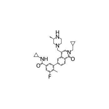 Cc1c(F)cc(C(=O)NC2CC2)cc1-c1ccc2c(=O)n(CC3CC3)cc(CN3CCN[C@H](C)C3)c2c1